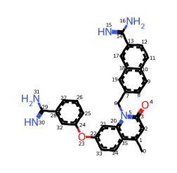 Cc1cc(=O)n(Cc2ccc3ccc(C(=N)N)cc3c2)c2cc(Oc3cccc(C(=N)N)c3)ccc12